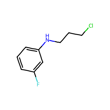 Fc1cccc(NCCCCl)c1